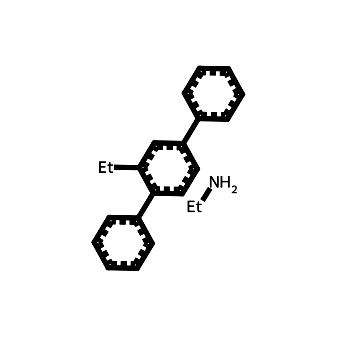 CCN.CCc1cc(-c2ccccc2)ccc1-c1ccccc1